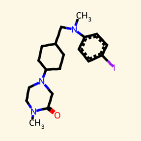 CN1CCN(C2CCC(CN(C)c3ccc(I)cc3)CC2)CC1=O